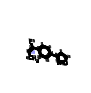 [CH2]/C=C(/F)c1ccc(-c2ccon2)cc1